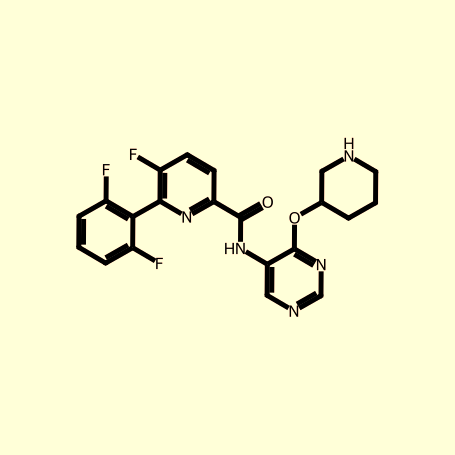 O=C(Nc1cncnc1OC1CCCNC1)c1ccc(F)c(-c2c(F)cccc2F)n1